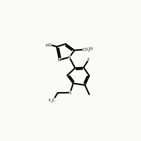 CCOC(=O)c1cc(O)nn1-c1cc(SCC(F)(F)F)c(C)cc1F